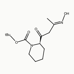 C/C(CC(=O)[C@H]1CCCCN1C(=O)OC(C)(C)C)=N\O